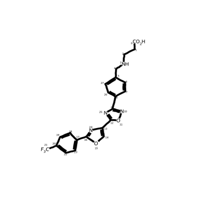 O=C(O)CCNCc1ccc(-c2noc(-c3coc(-c4ccc(C(F)(F)F)cc4)n3)n2)cc1